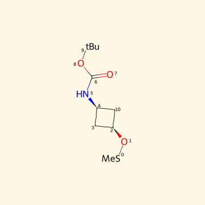 CSO[C@H]1C[C@@H](NC(=O)OC(C)(C)C)C1